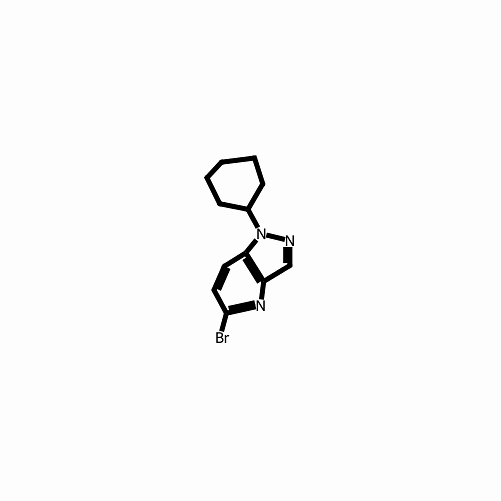 Brc1ccc2c(cnn2C2CCCCC2)n1